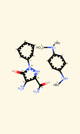 CCCCNc1ccc(N(CCCC)S(=O)(=O)O)cc1.NC(=O)c1[nH]n(-c2ccccc2)c(=O)c1N